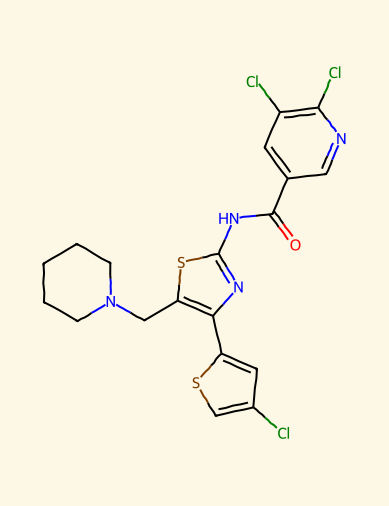 O=C(Nc1nc(-c2cc(Cl)cs2)c(CN2CCCCC2)s1)c1cnc(Cl)c(Cl)c1